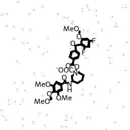 COCOc1cc(F)cc(F)c1C(=O)c1ccc(C(=O)O[N+]2(C(=O)[O-])CCCCC(NC(=O)c3cc(OC)c(OCOC)c(OC)c3)C2)cc1